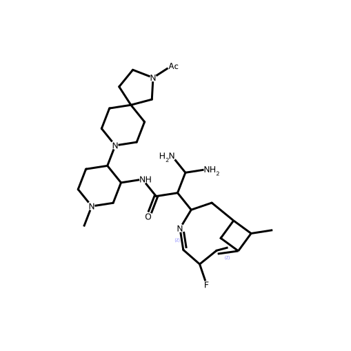 CC(=O)N1CCC2(CCN(C3CCN(C)CC3NC(=O)C(C(N)N)C3CC4C/C(=C/C(F)/C=N\3)C4C)CC2)C1